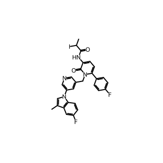 Cc1cn(-c2cncc(Cn3c(-c4ccc(F)cc4)ccc(NC(=O)C(C)I)c3=O)c2)c2ccc(F)cc12